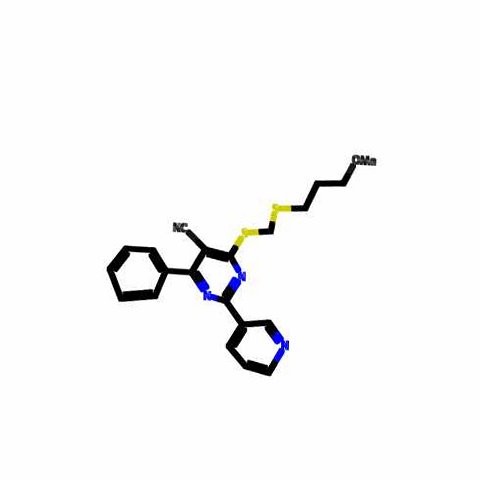 COCCCSCSc1nc(-c2cccnc2)nc(-c2ccccc2)c1C#N